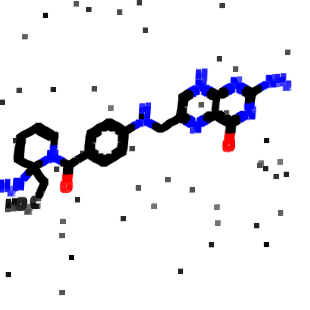 Nc1nc2[nH]cc(CNc3ccc(C(=O)N4C=CC=CC4(N)CC(=O)O)cc3)nc-2c(=O)n1